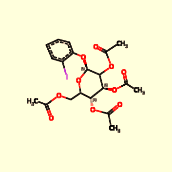 CC(=O)OCC1O[C@@H](Oc2ccccc2I)C(OC(C)=O)[C@@H](OC(C)=O)[C@@H]1OC(C)=O